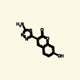 Nc1nnc(-c2cc3ccc(O)cc3oc2=O)s1